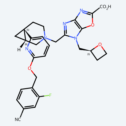 N#Cc1ccc(COc2cccc([C@@]34CCN(Cc5nc6nc(C(=O)O)oc6n5C[C@@H]5CCO5)C[C@@H]3C4)n2)c(F)c1